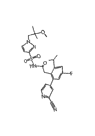 COC(C)(C)Cn1ccc(S(=O)(=O)NC(=O)Cc2c(-c3ccnc(C#N)c3)cc(F)cc2C(C)C)n1